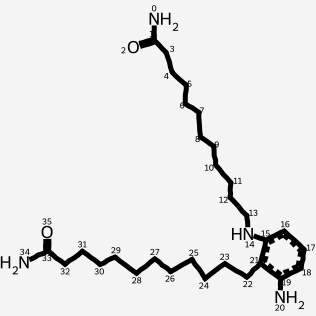 NC(=O)CCCCCCCCCCCNc1cccc(N)c1CCCCCCCCCCCC(N)=O